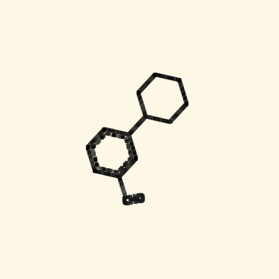 O=Cc1cccc(C2CCCCC2)c1